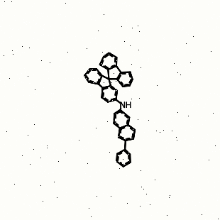 c1ccc(-c2ccc3cc(Nc4ccc5c(c4)C4(c6ccccc6-c6ccccc64)c4ccccc4-5)ccc3c2)cc1